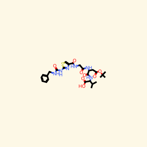 CC(C)C(NC(=O)C(CC(=O)OC(C)(C)C)NC(=O)CNC(=O)c1csc(NC(=O)NCc2ccccc2)n1)C(=O)O